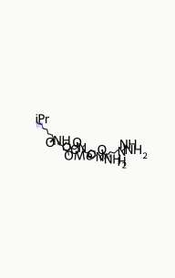 COc1cc(CNC(=O)CCCC/C=C/C(C)C)ccc1OC(=O)N(C)Cc1ccc(N(C)C(=O)[C@@H](N)CCCNC(=N)N)cc1